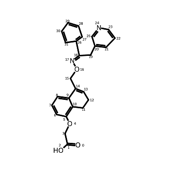 O=C(O)COc1cccc2c1CCC=C2CO/N=C(\Cc1cccnc1)c1ccccc1